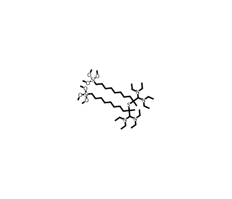 CCN(CC)C(N(CC)CC)C(C)(CCCCCCCC[Si](OC)(OC)OC)SC(C)(CCCCCCCC[Si](OC)(OC)OC)C(N(CC)CC)N(CC)CC